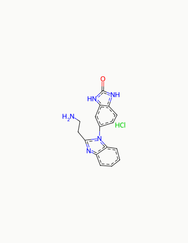 Cl.NCCc1nc2ccccc2n1-c1ccc2[nH]c(=O)[nH]c2c1